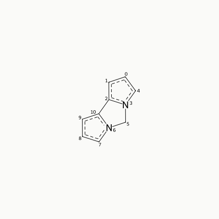 c1cc2n(c1)Cn1cccc1-2